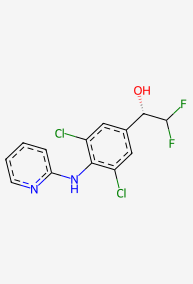 O[C@@H](c1cc(Cl)c(Nc2ccccn2)c(Cl)c1)C(F)F